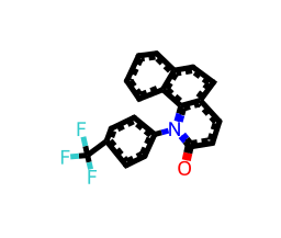 O=c1ccc2ccc3ccccc3c2n1-c1ccc(C(F)(F)F)cc1